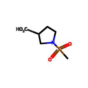 CS(=O)(=O)N1CCC(C(=O)O)C1